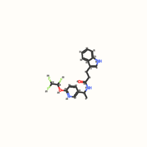 CC(NC(=O)CCc1c[nH]c2ccccc12)c1ccc(OC(F)C(F)F)nc1